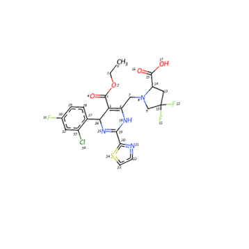 CCOC(=O)C1=C(CN2CC(F)(F)CC2C(=O)O)NC(c2nccs2)=NC1c1ccc(F)cc1Cl